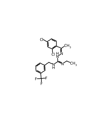 CCN=C(NCc1cccc(C(F)(F)F)c1)NN=C(C)c1ccc(Cl)cc1Cl